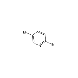 CCc1c[c]c(Br)nc1